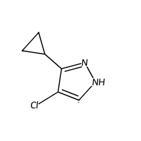 Clc1[c][nH]nc1C1CC1